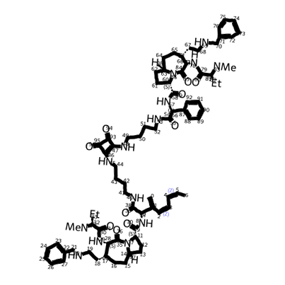 C=C(/C=C\C=C/C)[C@H](NC(=O)[C@@H]1CC[C@@H]2CC[C@H](CCNCc3ccccc3)[C@H](NC(=O)[C@H](CC)NC)C(=O)N21)C(=O)NCCCCNc1c(NCCCCNC(=O)[C@@H](NC(=O)[C@@H]2CC[C@@H]3CC[C@H](CCNCc4ccccc4)[C@H](NC(=O)[C@H](CC)NC)C(=O)N32)c2ccccc2)c(=O)c1=O